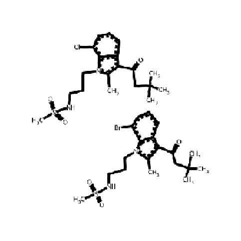 Cc1c(C(=O)CC(C)(C)C)c2cccc(Br)c2n1CCCNS(C)(=O)=O.Cc1c(C(=O)CC(C)(C)C)c2cccc(Cl)c2n1CCCNS(C)(=O)=O